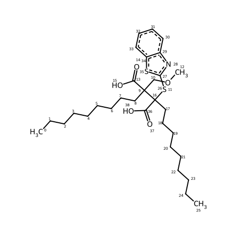 CCCCCCCCCC(COC)(C(=O)O)C(CCCCCCCCC)(Sc1nc2ccccc2s1)C(=O)O